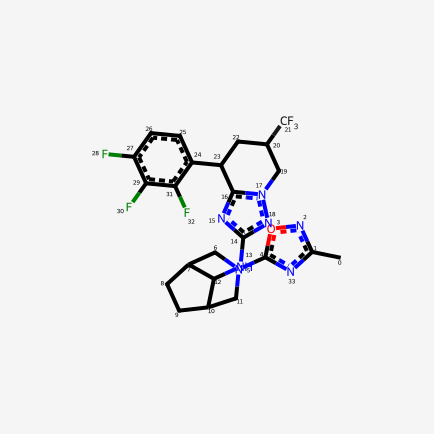 Cc1noc(N2CC3CCC(C2)C3Nc2nc3n(n2)CC(C(F)(F)F)CC3c2ccc(F)c(F)c2F)n1